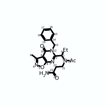 CCC(c1nc2onc(C)c2c(=O)n1Cc1ccccc1)N(CCC(N)=O)C(C)=O